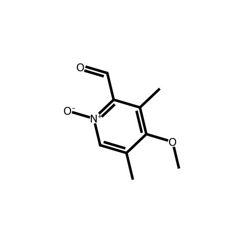 COc1c(C)c[n+]([O-])c(C=O)c1C